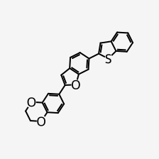 c1ccc2sc(-c3ccc4cc(-c5ccc6c(c5)OCCO6)oc4c3)cc2c1